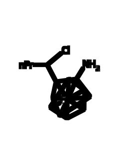 CCCC(Cl)[C]12[CH]3[CH]4[CH]5[C]1(N)[Fe]45321678[CH]2[CH]1[CH]6[CH]7[CH]28